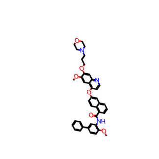 COc1ccc(-c2ccccc2)cc1NC(=O)c1cccc2cc(Oc3ccnc4cc(OCCCN5CCOCC5)c(OC)cc34)ccc12